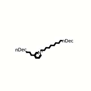 CCCCCCCCCCCCCCCCCCC[n+]1cccc(CCCCCCCCCCCCC)c1